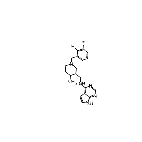 CC1CCN(Cc2cccc(F)c2F)CC1CNc1ncnc2[nH]ccc12